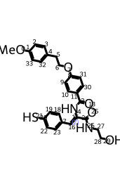 COc1ccc(CCOc2ccc(C(=O)N/C(=C\c3ccc(S)cc3)C(=O)NCCO)cc2)cc1